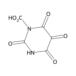 O=C1NC(=O)N(C(=O)O)C(=O)C1=O